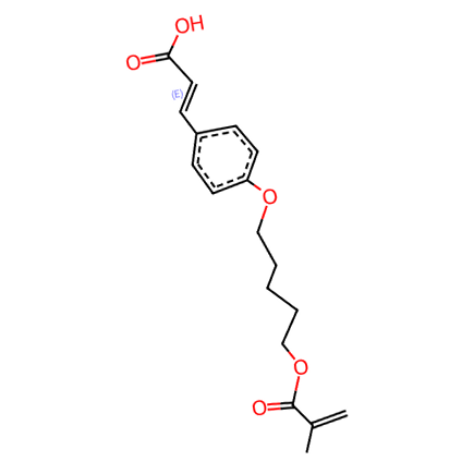 C=C(C)C(=O)OCCCCCOc1ccc(/C=C/C(=O)O)cc1